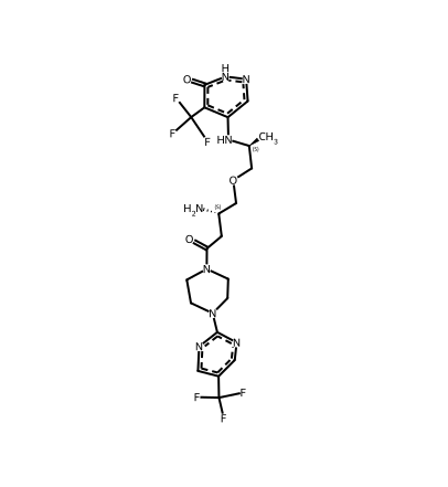 C[C@@H](COC[C@@H](N)CC(=O)N1CCN(c2ncc(C(F)(F)F)cn2)CC1)Nc1cn[nH]c(=O)c1C(F)(F)F